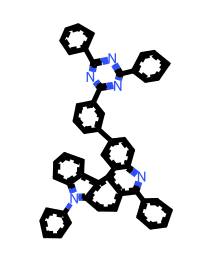 c1ccc(-c2nc(-c3ccccc3)nc(-c3cccc(-c4ccc5nc(-c6ccccc6)c6ccc7c(c8ccccc8n7-c7ccccc7)c6c5c4)c3)n2)cc1